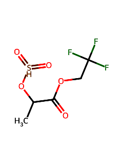 CC(O[SH](=O)=O)C(=O)OCC(F)(F)F